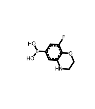 OB(O)c1cc(F)c2c(c1)NCCO2